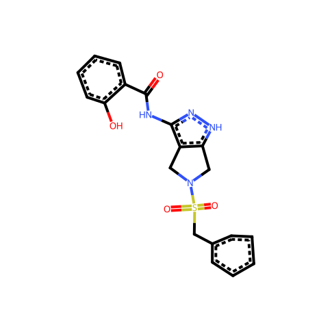 O=C(Nc1n[nH]c2c1CN(S(=O)(=O)Cc1ccccc1)C2)c1ccccc1O